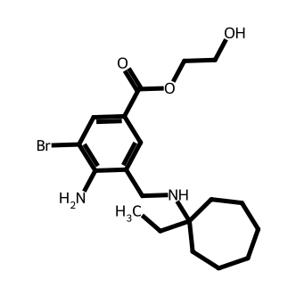 CCC1(NCc2cc(C(=O)OCCO)cc(Br)c2N)CCCCCC1